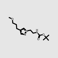 COCCCc1cnn(CCNC(=O)OC(C)(C)C)c1